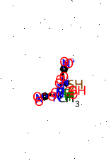 CC(=NC(=O)OCc1ccc([N+](=O)[O-])cc1)N1CCN(C(=O)[C@@H]2C[C@H](S)CN2C(=O)OCc2ccc([N+](=O)[O-])cc2)CC1.O=S(=O)(O)C(F)(F)F